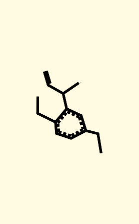 [CH2]C(C=C)c1cc(CC)ccc1CC